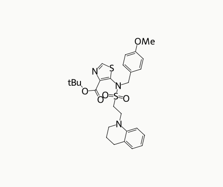 COc1ccc(CN(c2scnc2C(=O)OC(C)(C)C)S(=O)(=O)CCN2CCCc3ccccc32)cc1